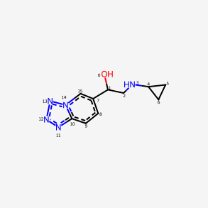 OC(CNC1CC1)c1ccc2nnnn2c1